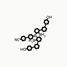 Bc1c(B(c2ccc(-c3ccc(C#N)cc3)cc2)c2cccc(-c3cccc(-c4ccc(O)cc4)c3)c2B)cccc1-c1cccc(-c2ccc(O)cc2)c1